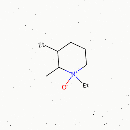 CCC1CCC[N+]([O-])(CC)C1C